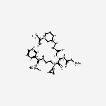 CC(=O)O.COCC(=O)N[C@@H](CC(=O)NC[C@@H]1CCCN(C(=N)N)C1)C(=O)N(CCNC(=O)c1cnccn1)C1CC1